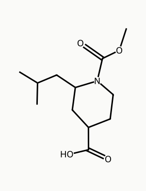 COC(=O)N1CCC(C(=O)O)CC1CC(C)C